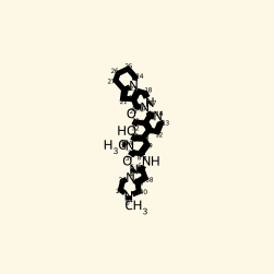 CN1CCn2nc(Nc3cc(-c4ccnc(-n5ncc6c(cc7n6CCCC7)c5=O)c4CO)cn(C)c3=O)cc2C1